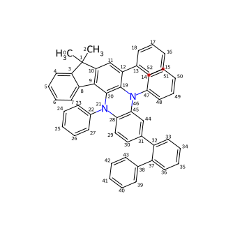 CC1(C)c2ccccc2-c2c1cc(-c1ccccc1)c1c2N(c2ccccc2)c2ccc(-c3ccccc3-c3ccccc3)cc2N1c1ccccc1